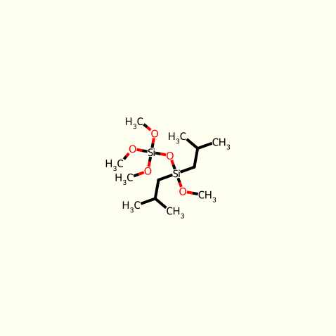 CO[Si](CC(C)C)(CC(C)C)O[Si](OC)(OC)OC